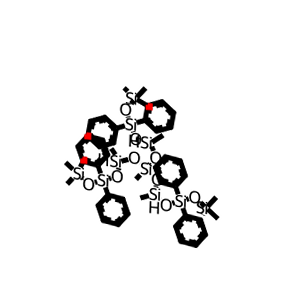 C[SiH](O[Si](C)(O[SiH](C)O[Si](O[Si](C)(C)C)(c1ccccc1)c1ccccc1)O[SiH](C)O[Si](O[Si](C)(C)C)(c1ccccc1)c1ccccc1)O[Si](O[Si](C)(C)C)(c1ccccc1)c1ccccc1